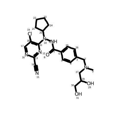 CN(Cc1ccc(C(=O)NN(c2nc(C#N)ncc2Cl)C2CCCC2)cc1)CC(O)CO